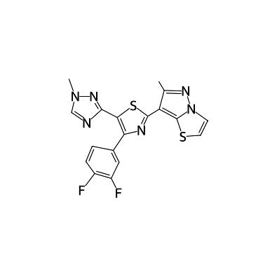 Cc1nn2ccsc2c1-c1nc(-c2ccc(F)c(F)c2)c(-c2ncn(C)n2)s1